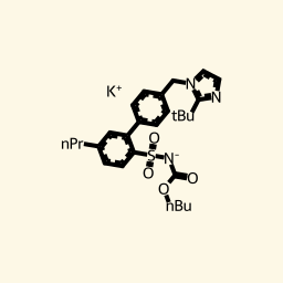 CCCCOC(=O)[N-]S(=O)(=O)c1ccc(CCC)cc1-c1ccc(Cn2ccnc2C(C)(C)C)cc1.[K+]